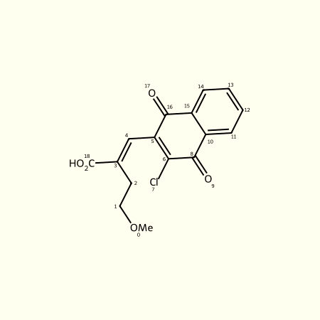 COCC/C(=C\C1=C(Cl)C(=O)c2ccccc2C1=O)C(=O)O